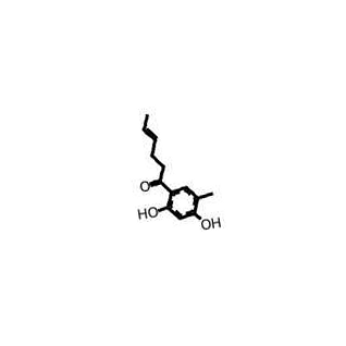 C/C=C/CCC(=O)c1cc(C)c(O)cc1O